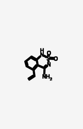 C=Cc1cccc2c1C(N)=NS(=O)(=O)N2